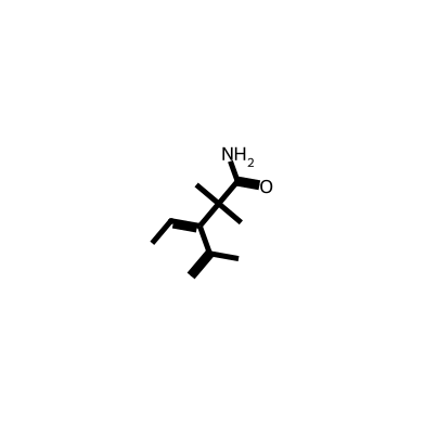 C=C(C)/C(=C\C)C(C)(C)C(N)=O